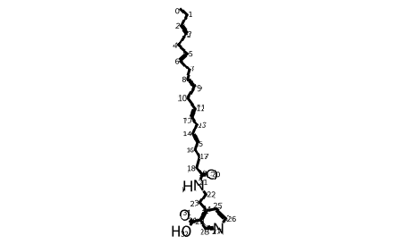 CCC=CCC=CCC=CCC=CCC=CCCCC(=O)NCCc1ccncc1C(=O)O